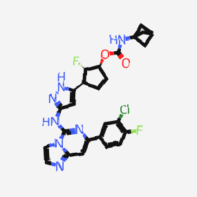 O=C(NC12CC(C1)C2)O[C@H]1CC[C@@H](c2cc(Nc3nc(-c4ccc(F)c(Cl)c4)cc4nccn34)n[nH]2)[C@@H]1F